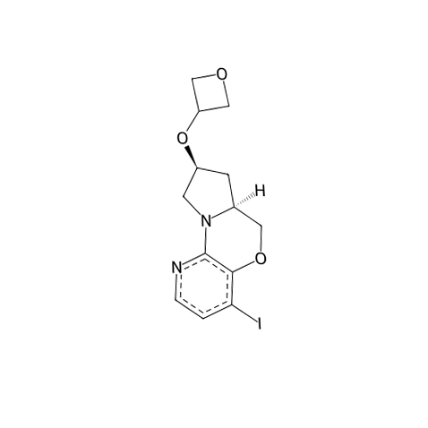 Ic1ccnc2c1OC[C@@H]1C[C@H](OC3COC3)CN21